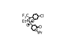 CCN([C@H](c1ccc(Cl)cc1)C(F)(F)F)S(=O)(=O)c1ccn(C(C)C)c(=O)c1